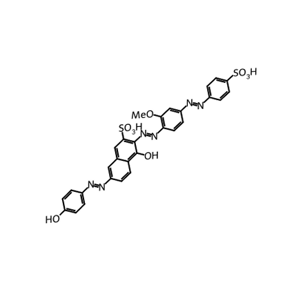 COc1cc(N=Nc2ccc(S(=O)(=O)O)cc2)ccc1N=Nc1c(S(=O)(=O)O)cc2cc(N=Nc3ccc(O)cc3)ccc2c1O